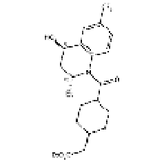 CCOC(=O)CC1CCC(C(=O)N2c3ccc(C(F)(F)F)cc3[C@H](O)C[C@H]2CC)CC1